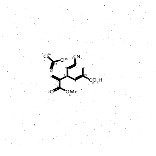 C=C(C(=O)OC)C(C=CC#N)C=C(C)C(=O)O.C=C(Cl)Cl